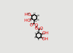 O=C(OOC(=O)c1cccc(O)c1O)c1cccc(O)c1O